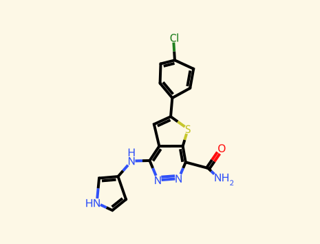 NC(=O)c1nnc(Nc2cc[nH]c2)c2cc(-c3ccc(Cl)cc3)sc12